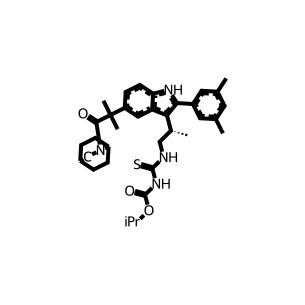 Cc1cc(C)cc(-c2[nH]c3ccc(C(C)(C)C(=O)N4CC5CCC4CC5)cc3c2[C@H](C)CNC(=S)NC(=O)OC(C)C)c1